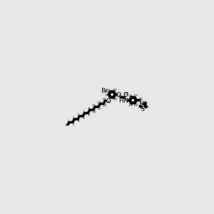 CCCCCCCCCCCCCCCCOc1cccc(OCC(=O)Nc2ccc(C[n+]3ccsc3)cc2)c1.[Br-]